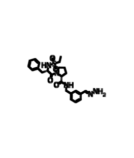 CCS(=O)(=O)N[C@H](Cc1ccccc1)C(=O)N1CCC[C@H]1C(=O)NCc1cccc(C=NN)c1